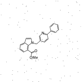 COC(=O)c1cccc2ccn(Cc3ccc(-c4ccccc4)nc3)c12